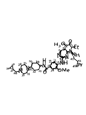 CCC1C(=O)N(C)c2cnc(Nc3ccc(C(=O)NC4CCC(N5CCN(CC6CC6)CC5)CC4)cc3OC)nc2N1NCCC(C)C